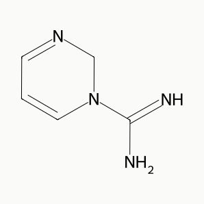 N=C(N)N1C=CC=NC1